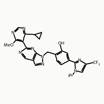 COc1ncnc(C2CC2)c1-c1ncc2cnn(Cc3ccc(-c4nc(C(F)(F)F)cn4C(C)C)cc3O)c2n1